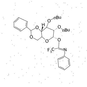 CCCCOC1[C@H]2OC(c3ccccc3)OCC2O[C@@H](O/C(=N/c2ccccc2)C(F)(F)F)[C@H]1OCCCC